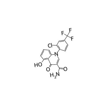 NC(=O)c1cn(-c2ccc(C(F)(F)F)cc2Cl)c2cccc(O)c2c1=O